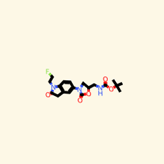 CC(C)(C)OC(=O)NCC1CN(c2ccc3c(c2)CC(=O)N3CCF)C(=O)O1